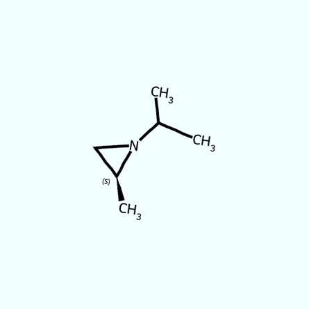 CC(C)N1C[C@@H]1C